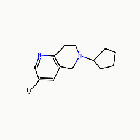 Cc1cnc2c(c1)CN(C1CCCC1)CC2